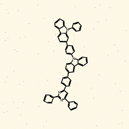 c1ccc(-c2cc(-c3ccc(-c4ccc5c(c4)c4ccccc4n5-c4ccc(-c5ccc6c7ccccc7n(-c7ccccc7)c6c5)cc4)cc3)nc(-c3ccccc3)n2)cc1